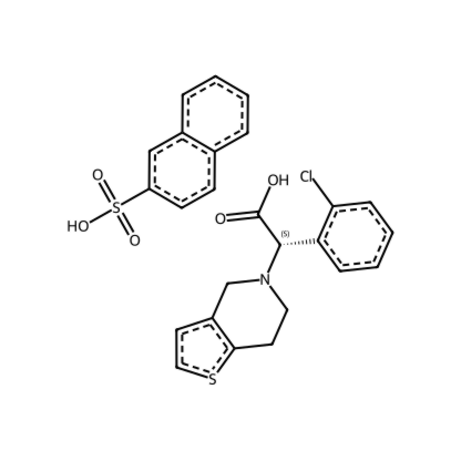 O=C(O)[C@H](c1ccccc1Cl)N1CCc2sccc2C1.O=S(=O)(O)c1ccc2ccccc2c1